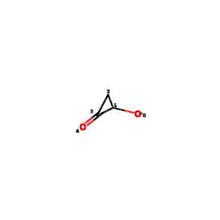 [O]C1CC1=O